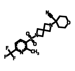 Cc1nc(C(F)(F)F)ccc1S(=O)(=O)N1CC2(CN(C3(C#N)CCOCC3)C2)C1